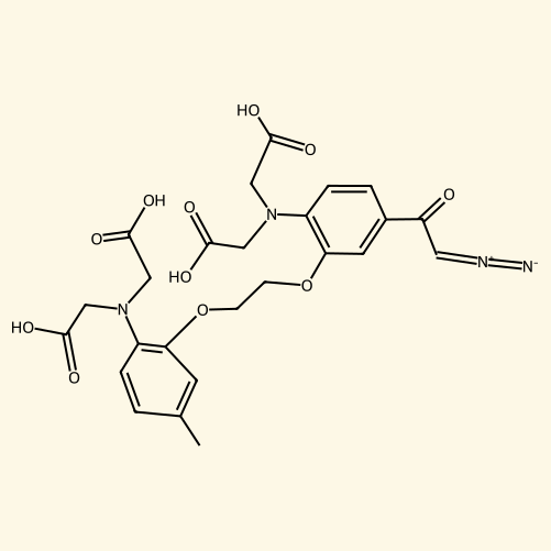 Cc1ccc(N(CC(=O)O)CC(=O)O)c(OCCOc2cc(C(=O)C=[N+]=[N-])ccc2N(CC(=O)O)CC(=O)O)c1